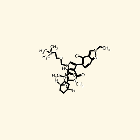 CCn1cc2c(Cl)c(-c3cn(COCC[Si](C)(C)C)c4nc(N5[C@H]6CC[C@@H]5[C@H](N(C)C(=O)O)C6)n(C)c(=O)c34)ccc2n1